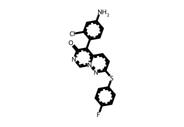 Nc1ccc(-c2c(=O)ncn3nc(Sc4ccc(F)cc4)ccc23)c(Cl)c1